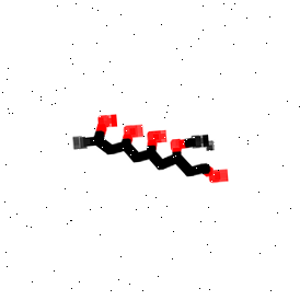 BOC(CCO)CC(O)CC(O)CC(O)CC